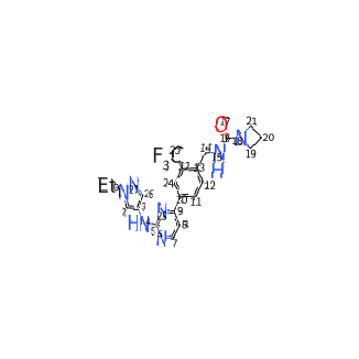 CCn1cc(Nc2nccc(-c3ccc(CNC(=O)N4CCC4)c(C(F)(F)F)c3)n2)cn1